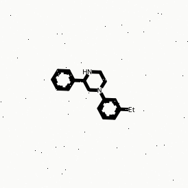 CCc1cccc(N2CCNC(c3ccccc3)C2)c1